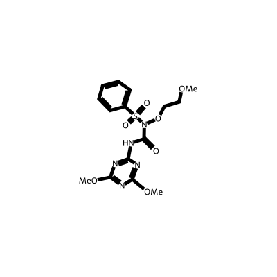 COCCON(C(=O)Nc1nc(OC)nc(OC)n1)S(=O)(=O)c1ccccc1